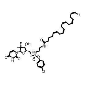 CC/C=C\C/C=C\C/C=C\C/C=C\C/C=C\CCCC(=O)NCCNP(=O)(OC[C@H]1O[C@@H](n2ccc(=O)[nH]c2=O)[C@](C)(F)[C@@H]1O)Oc1ccc(Cl)cc1